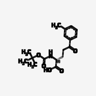 Cc1cccc(C(=O)CC[C@@H](NC(=O)OC(C)(C)C)C(=O)O)c1